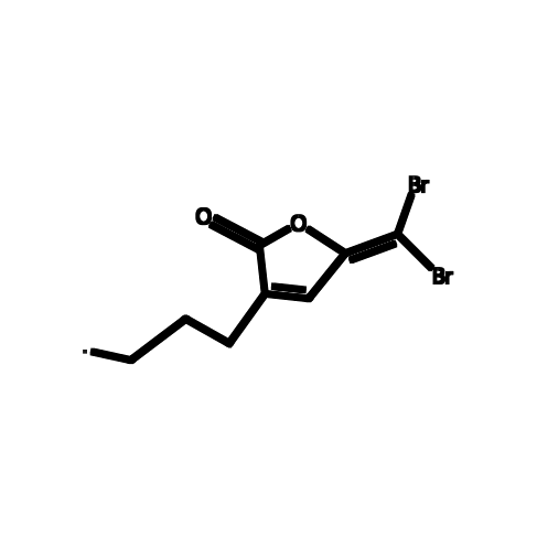 [CH2]CCCC1=CC(=C(Br)Br)OC1=O